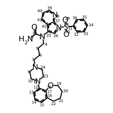 NC(=O)N(CCCCN1CCN(c2cccc3c2OCCCC3)CC1)c1cn(S(=O)(=O)c2ccccc2)c2ncccc12